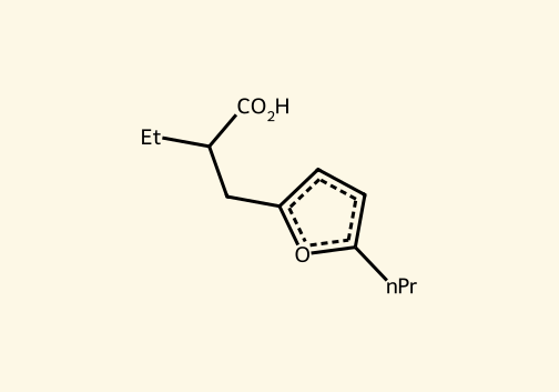 CCCc1ccc(CC(CC)C(=O)O)o1